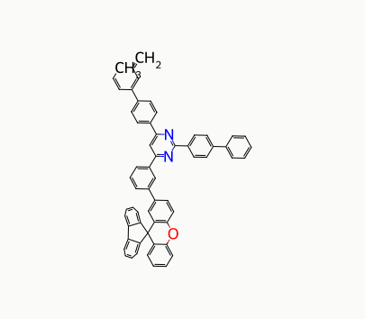 C=C/C=C(\C=C/C)c1ccc(-c2cc(-c3cccc(-c4ccc5c(c4)C4(c6ccccc6O5)c5ccccc5-c5ccccc54)c3)nc(-c3ccc(-c4ccccc4)cc3)n2)cc1